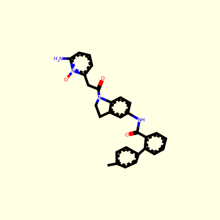 Cc1ccc(-c2ccccc2C(=O)Nc2ccc3c(c2)CCN3C(=O)Cc2cccc(N)[n+]2[O-])cc1